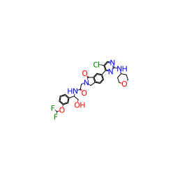 O=C(CN1Cc2ccc(-c3nc(NC4CCOCC4)ncc3Cl)cc2C1=O)NC(CO)c1cccc(OC(F)F)c1